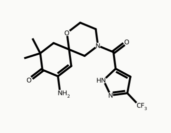 CC1(C)CC2(C=C(N)C1=O)CN(C(=O)c1cc(C(F)(F)F)n[nH]1)CCO2